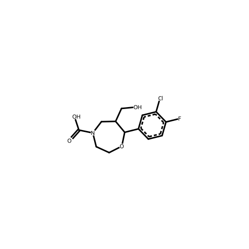 O=C(O)N1CCOC(c2ccc(F)c(Cl)c2)C(CO)C1